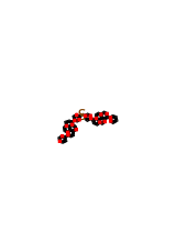 c1ccc(-c2ccc3ccc4c(-c5ccc(Sc6ccc(-c7ccc8ccc9c(-c%10ccccc%10)ccc%10ccc7c8c%109)cc6)cc5)ccc5ccc2c3c54)cc1